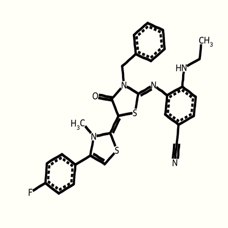 CCNc1ccc(C#N)cc1N=C1SC(=C2SC=C(c3ccc(F)cc3)N2C)C(=O)N1Cc1ccccc1